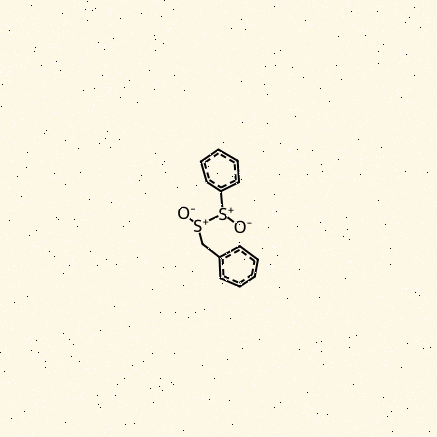 [O-][S+](Cc1ccccc1)[S+]([O-])c1ccccc1